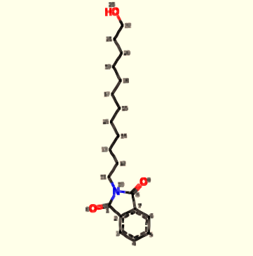 O=C1c2ccccc2C(=O)N1CCCCCCCCCCCCO